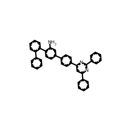 Nc1cc(-c2ccc(-c3cc(-c4ccccc4)nc(-c4ccccc4)n3)cc2)ccc1-c1ccccc1-c1ccccc1